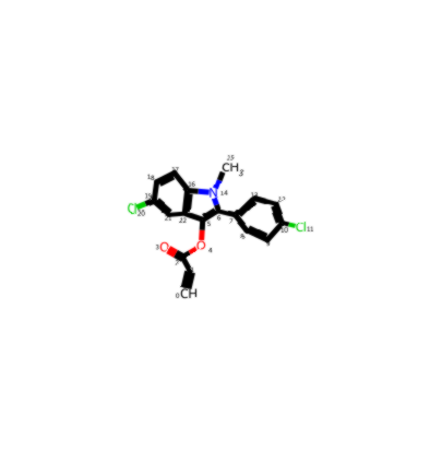 C#CC(=O)Oc1c(-c2ccc(Cl)cc2)n(C)c2ccc(Cl)cc12